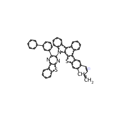 C=C/C=C\c1cc2c(cc1C)sc1c2c2ccccc2c2c3ccccc3n(-c3nc4sc5ccccc5c4nc3-c3cccc(-c4ccccc4)c3)c12